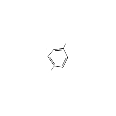 O=C(O)c1ccc(C(=O)O)cc1.[Cu]